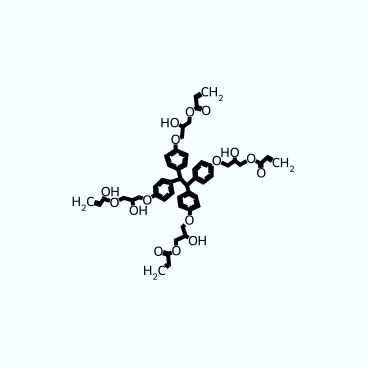 C=CC(=O)OCC(O)COc1ccc(C(c2ccc(OCC(O)COC(=O)C=C)cc2)C(c2ccc(OCC(O)COC(=O)C=C)cc2)c2ccc(OCC(O)COC(O)C=C)cc2)cc1